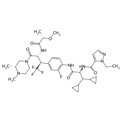 CCn1nccc1C(=O)N[C@H](C(=O)Nc1ccc([C@H]([C@@H](NC(=O)[C@H](C)OC)C(=O)N2CCN(C)[C@H](C)C2)C(F)(F)F)cc1F)C(C1CC1)C1CC1